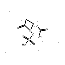 CC(=O)O.O=C1CCN1OS(=O)(=O)O